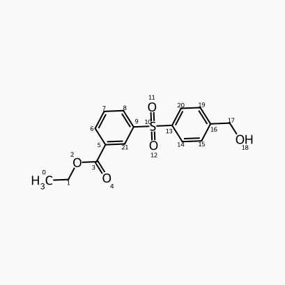 CCOC(=O)c1cccc(S(=O)(=O)c2ccc(CO)cc2)c1